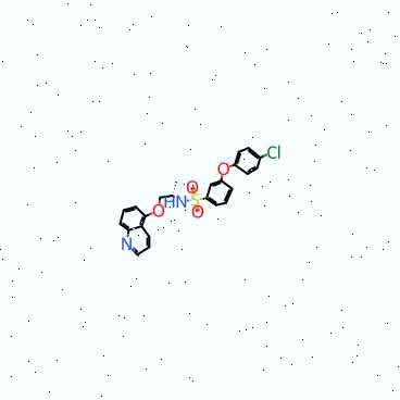 C[C@@H](COc1cccc2ncccc12)NS(=O)(=O)c1cccc(Oc2ccc(Cl)cc2)c1